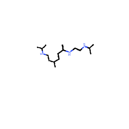 CC(CCNC(C)C)CCC(C)NCCNC(C)C